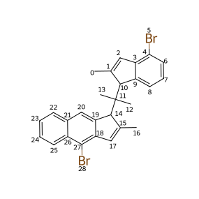 CC1=Cc2c(Br)cccc2C1C(C)(C)C1C(C)=Cc2c1cc1ccccc1c2Br